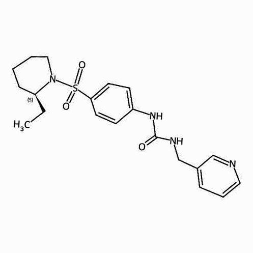 CC[C@H]1CCCCN1S(=O)(=O)c1ccc(NC(=O)NCc2cccnc2)cc1